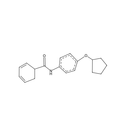 O=C(Nc1ccc(OC2CCCC2)cc1)C1C=CC=CC1